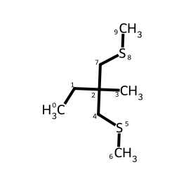 CCC(C)(CSC)CSC